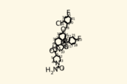 NC(=O)N1CCC(C(=O)N2CC[C@@]3(S(=O)(=O)c4ccc(F)cc4)c4ccc(OCc5ccc(F)cc5Cl)cc4CC[C@@H]23)CC1